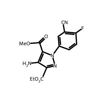 CCOC(=O)c1nn(-c2ccc(F)c(C#N)c2)c(C(=O)OC)c1N